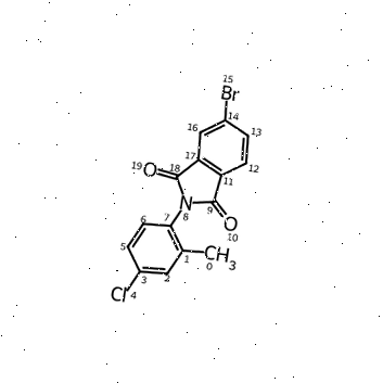 Cc1cc(Cl)ccc1N1C(=O)c2ccc(Br)cc2C1=O